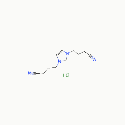 Cl.N#CCCCN1C=CN(CCCC#N)C1